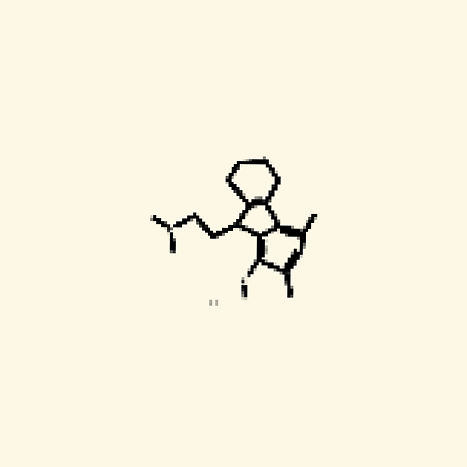 COc1c(C)cc(C)c2c1C(CCN(C)C)C1=C2CCCC1.Cl